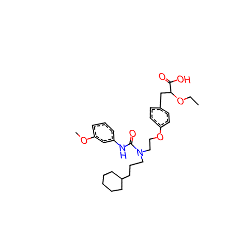 CCOC(Cc1ccc(OCCN(CCCC2CCCCC2)C(=O)Nc2cccc(OC)c2)cc1)C(=O)O